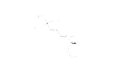 CCCCC(O)(CCCC)CCCNC(=O)OC(C)(C)C